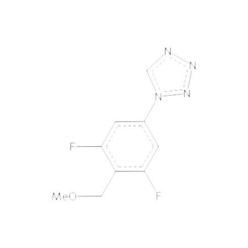 COCc1c(F)cc(-n2cnnn2)cc1F